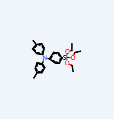 CCO[Si](OCC)(OCC)c1ccc(N(c2ccc(C)cc2)c2ccc(C)cc2)cc1